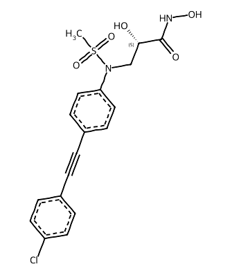 CS(=O)(=O)N(C[C@H](O)C(=O)NO)c1ccc(C#Cc2ccc(Cl)cc2)cc1